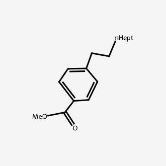 CCCCCCCCCc1ccc(C(=O)OC)cc1